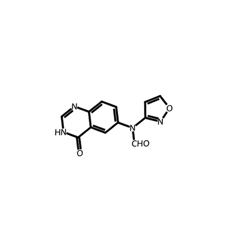 O=CN(c1ccc2nc[nH]c(=O)c2c1)c1ccon1